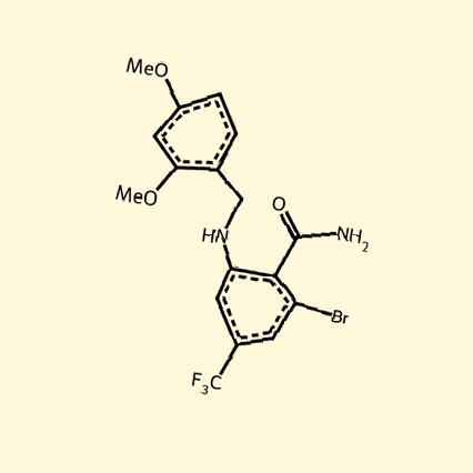 COc1ccc(CNc2cc(C(F)(F)F)cc(Br)c2C(N)=O)c(OC)c1